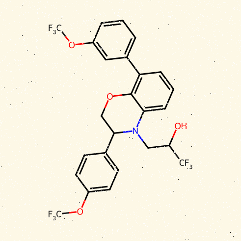 OC(CN1c2cccc(-c3cccc(OC(F)(F)F)c3)c2OCC1c1ccc(OC(F)(F)F)cc1)C(F)(F)F